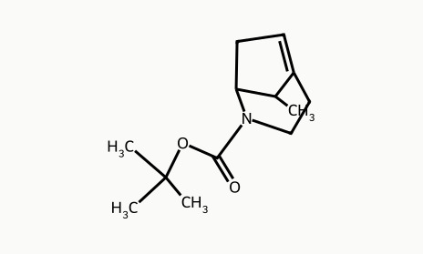 CC1C2=CCC1N(C(=O)OC(C)(C)C)CC2